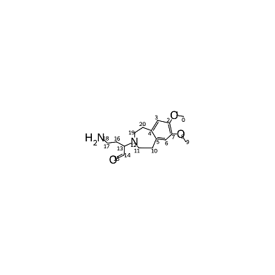 COc1cc2c(cc1OC)CCN(C(C=O)CCN)CC2